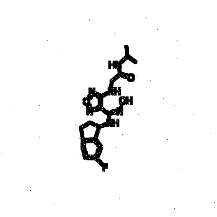 CC(C)NC(=O)CNc1nonc1/C(=N\O)NC1CCc2ccc(F)cc21